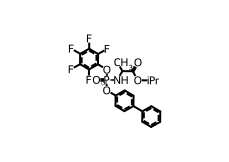 CC(C)OC(=O)C(C)N[P@](=O)(Oc1ccc(-c2ccccc2)cc1)Oc1c(F)c(F)c(F)c(F)c1F